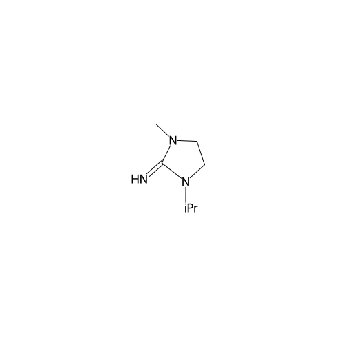 CC(C)N1CCN(C)C1=N